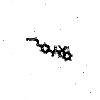 CCCC(C)COc1ccc([C@H](C)NC(=O)[C@](C)(O)c2ccccc2)nc1